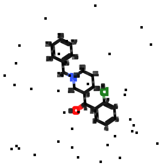 O=C(c1ccccc1Cl)C1CCCN(Cc2ccccc2)C1